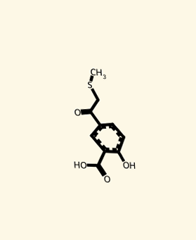 CSCC(=O)c1ccc(O)c(C(=O)O)c1